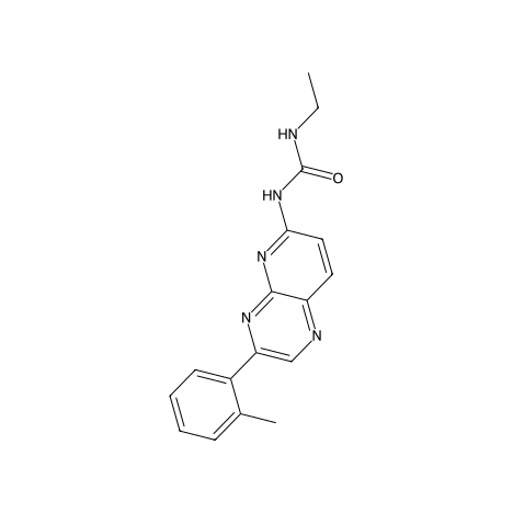 CCNC(=O)Nc1ccc2ncc(-c3ccccc3C)nc2n1